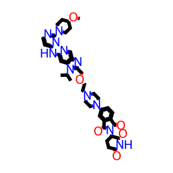 COC1CCN(c2nccc(Nc3cc4c(cn3)nc(COCCN3CCN(c5ccc6c(c5)C(=O)N(C5CCC(=O)NC5=O)C6=O)CC3)n4C(C)C)n2)CC1